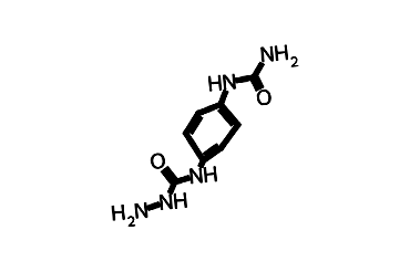 NNC(=O)Nc1ccc(NC(N)=O)cc1